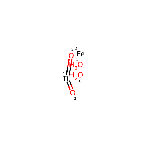 O.O.[Fe].[O]=[Ti]=[O]